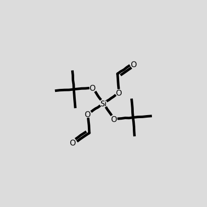 CC(C)(C)O[Si](OC=O)(OC=O)OC(C)(C)C